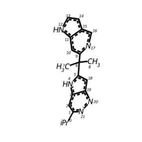 CC(C)c1cc2[nH]c(C(C)(C)c3cc4[nH]ccc4cn3)cc2nn1